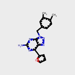 Cc1ccc(Cn2nnc3c(-c4ccco4)nc(N)nc32)cc1C